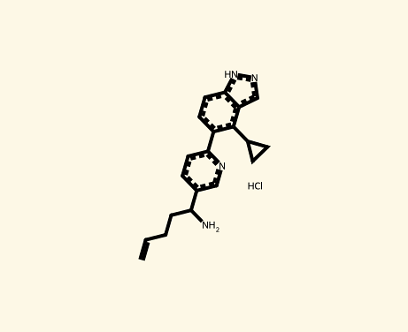 C=CCCC(N)c1ccc(-c2ccc3[nH]ncc3c2C2CC2)nc1.Cl